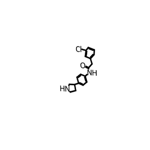 O=C(Cc1cccc(Cl)c1)Nc1ccc(C2CCNC2)cc1